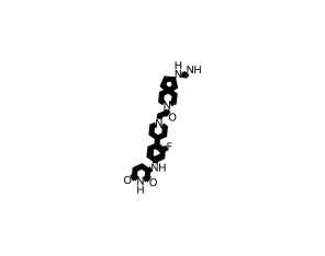 N=CN[C@H]1CCC2(CCN(C(=O)CN3CCC(c4ccc(NC5CCC(=O)NC5=O)cc4F)CC3)CC2)C1